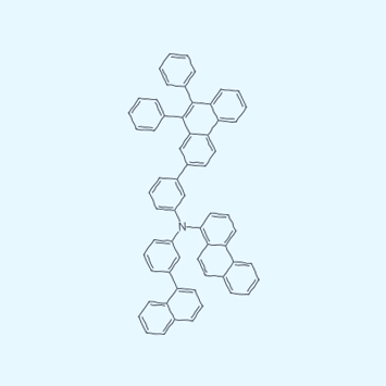 c1ccc(-c2c(-c3ccccc3)c3cc(-c4cccc(N(c5cccc(-c6cccc7ccccc67)c5)c5cccc6c5ccc5ccccc56)c4)ccc3c3ccccc23)cc1